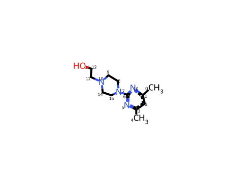 Cc1cc(C)nc(N2CCN(CCO)CC2)n1